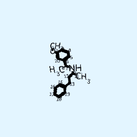 COc1cccc([C@@H](C)NC(C)CCc2ccccc2)c1